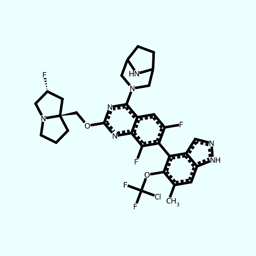 Cc1cc2[nH]ncc2c(-c2c(F)cc3c(N4CC5CCC(C4)N5)nc(OC[C@@]45CCCN4C[C@H](F)C5)nc3c2F)c1OC(F)(F)Cl